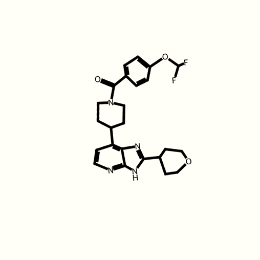 O=C(c1ccc(OC(F)F)cc1)N1CCC(c2ccnc3[nH]c(C4CCOCC4)nc23)CC1